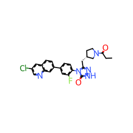 CCC(=O)N1CC[C@@H](Cc2n[nH]c(=O)n2-c2ccc(-c3ccc4cc(Cl)cnc4c3)cc2F)C1